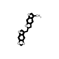 Cc1coc2cc3c(cc12)CC(Cc1coc2cc4c(cc12)OCO4)O3